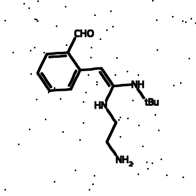 CC(C)(C)NC(=Cc1ccccc1C=O)NCCN